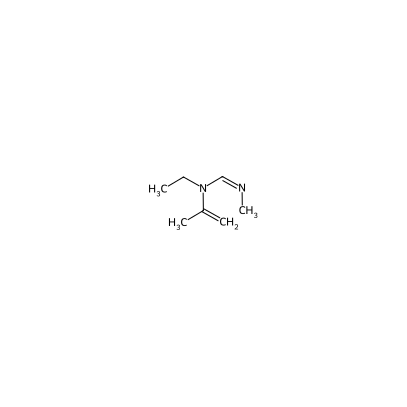 C=C(C)N(/C=N\C)CC